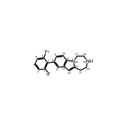 Fc1cccc(F)c1-c1ccc2c(c1)cc1n2CCNCC1